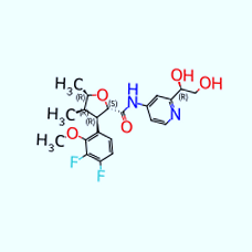 COc1c([C@H]2[C@@H](C)[C@@H](C)O[C@@H]2C(=O)Nc2ccnc([C@@H](O)CO)c2)ccc(F)c1F